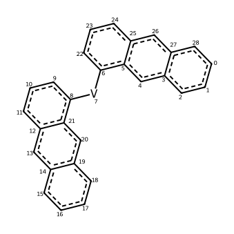 c1ccc2cc3[c]([V][c]4cccc5cc6ccccc6cc45)cccc3cc2c1